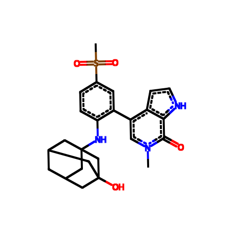 Cn1cc(-c2cc(S(C)(=O)=O)ccc2NC23CC4CC(CC(O)(C4)C2)C3)c2cc[nH]c2c1=O